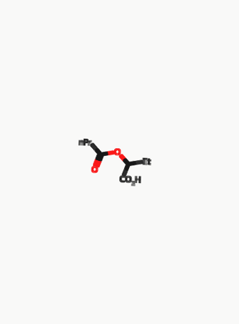 CCCC(=O)OC(CC)C(=O)O